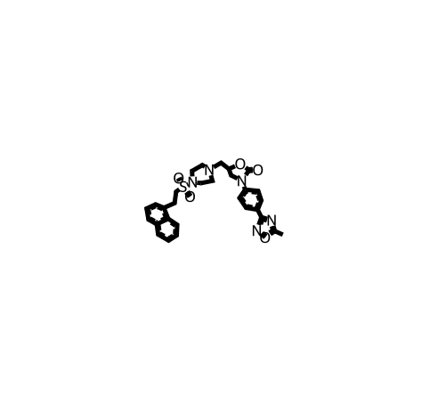 Cc1nc(-c2ccc(N3CC(CN4CCN(S(=O)(=O)CCc5cccc6ccccc56)CC4)OC3=O)cc2)no1